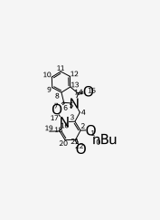 CCCCOc1c(CN2C(=O)c3ccccc3C2=O)n(C)c(C)cc1=O